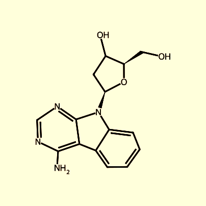 Nc1ncnc2c1c1ccccc1n2[C@H]1CC(O)[C@@H](CO)O1